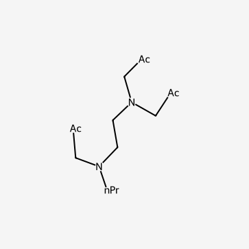 CCCN(CCN(CC(C)=O)CC(C)=O)CC(C)=O